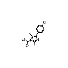 [CH2]CC(=O)n1c(C)nc(-c2ccc(Cl)cc2)c1C